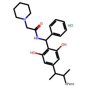 CCCCCC(C)C(C)c1cc(O)c(C(NC(=O)CN2CCCCC2)c2ccccc2)c(O)c1.Cl